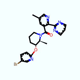 Cc1cnc(-c2ncccn2)c(C(=O)N2CCC[C@@H](Oc3ccc(Br)cn3)[C@@H]2C)c1